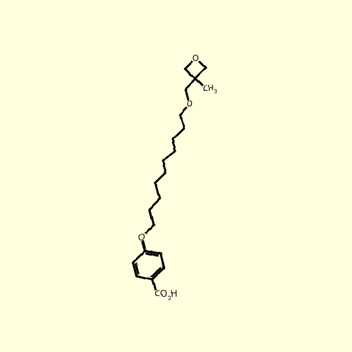 CC1(COCCCCCCCCCCOc2ccc(C(=O)O)cc2)COC1